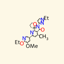 CCOc1ncc(-c2cc(C)c3c(n2)[C@]2(CCCO2)N(c2ccn(CC)n2)C3=O)cc1OC